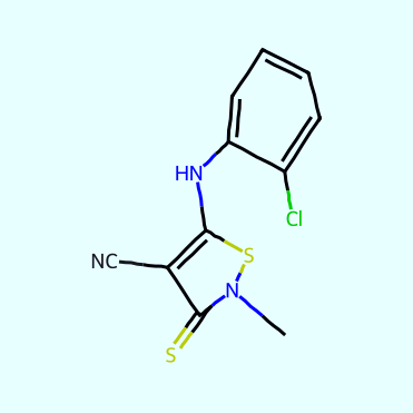 Cn1sc(Nc2ccccc2Cl)c(C#N)c1=S